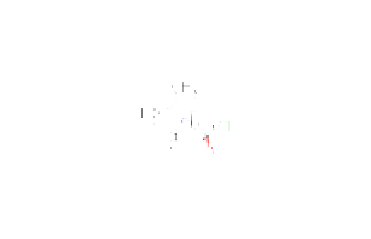 C=C(C)/C=C(\C)C(=O)Cl